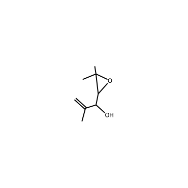 C=C(C)C(O)C1OC1(C)C